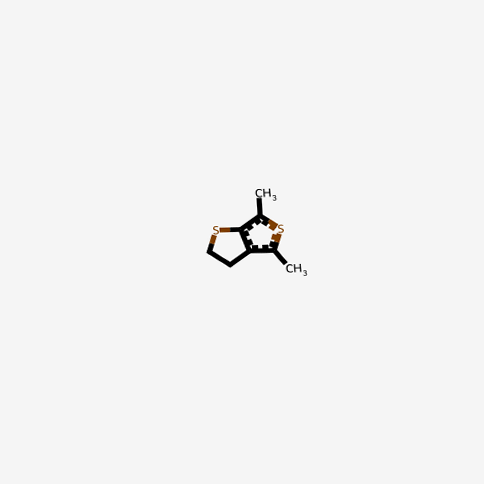 Cc1sc(C)c2c1CCS2